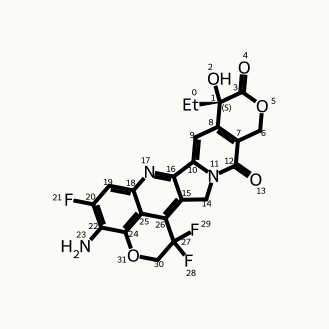 CC[C@@]1(O)C(=O)OCc2c1cc1n(c2=O)Cc2c-1nc1cc(F)c(N)c3c1c2C(F)(F)CO3